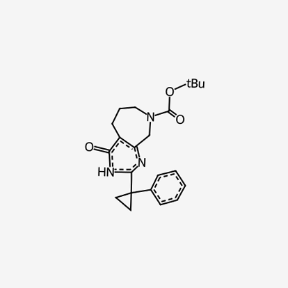 CC(C)(C)OC(=O)N1CCCc2c(nc(C3(c4ccccc4)CC3)[nH]c2=O)C1